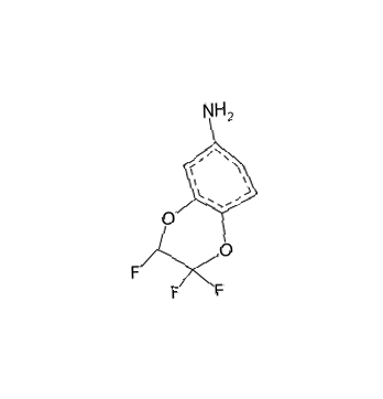 Nc1ccc2c(c1)OC(F)C(F)(F)O2